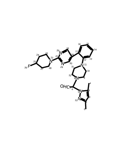 Cc1cc(C)n(C(C=O)N2CCN(c3ccccc3-c3cnc(N4CCC(F)CC4)nc3)CC2)n1